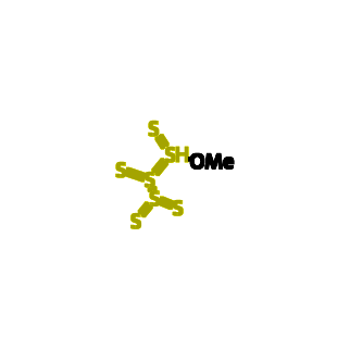 CO[SH](=S)=S(=S)=S(=S)=S